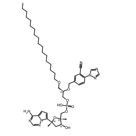 CCCCCCCCCCCCCCCCCCOC[C@H](COP(=O)(O)OC[C@@]1(C)O[C@@](C)(c2ccc3c(N)ncnn23)C[C@@H]1O)OCc1ccc(-n2cncn2)c(C#N)c1